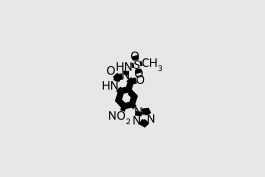 CS(=O)(=O)Nn1c(=O)[nH]c2cc([N+](=O)[O-])c(-n3cncn3)cc2c1=O